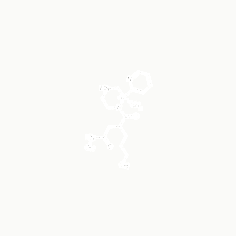 C[C@@]1(c2ccccn2)CNCCN1C(=O)C(CCCO)CC(=O)NO